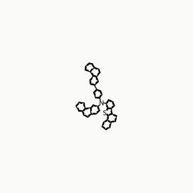 c1ccc2c(c1)ccc1cc(-c3ccc(N(c4ccc5ccc6ccccc6c5c4)c4cccc5c4sc4c6ccccc6ccc54)cc3)ccc12